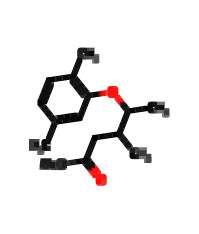 COC(=O)CC(C)C(C)Oc1cc(C)ccc1C